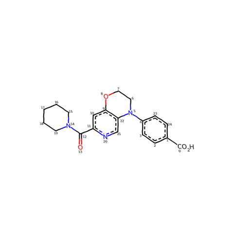 O=C(O)c1ccc(N2CCOc3cc(C(=O)N4CCCCC4)ncc32)cc1